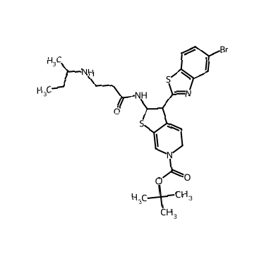 CCC(C)NCCC(=O)NC1SC2=CN(C(=O)OC(C)(C)C)CC=C2C1c1nc2cc(Br)ccc2s1